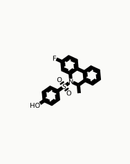 CC1c2ccccc2-c2ccc(F)cc2N1S(=O)(=O)c1ccc(O)cc1